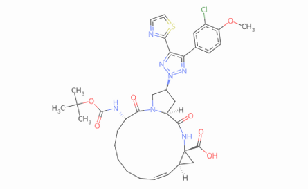 COc1ccc(-c2nn([C@H]3C[C@H]4C(=O)N[C@]5(C(=O)O)C[C@H]5/C=C\CCCCC[C@H](NC(=O)OC(C)(C)C)C(=O)N4C3)nc2-c2nccs2)cc1Cl